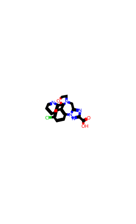 O=C(O)c1nc2n(n1)-c1ccc(Cl)cc1C1(c3ccccn3)OCCN1C2